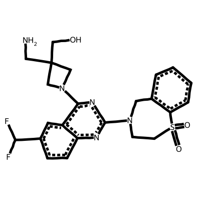 NCC1(CO)CN(c2nc(N3CCS(=O)(=O)c4ccccc4C3)nc3ccc(C(F)F)cc23)C1